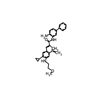 C=Nc1cc(NCCOC)c(C2CC2)cc1/C=C(\C)C(=O)Nc1cc(-c2ccccc2)ccc1N